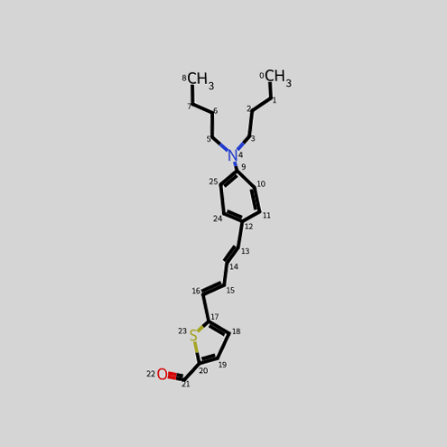 CCCCN(CCCC)c1ccc(C=CC=Cc2ccc(C=O)s2)cc1